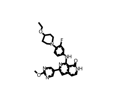 CCOC1CCN(c2ccc(Nc3nc(-c4cnc(OC)nc4)cc4cc[nH]c(=O)c34)cc2F)CC1